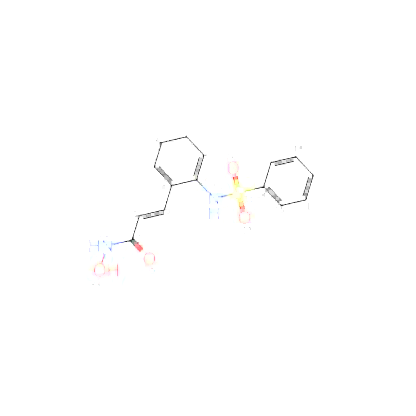 O=C(/C=C/C1=CCCC=C1NS(=O)(=O)c1ccccc1)NO